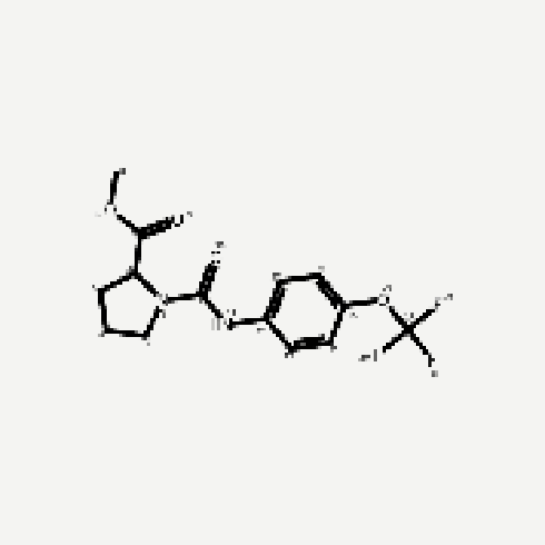 COC(=O)C1CCCN1C(=O)Nc1ccc(OC(F)(F)F)cc1